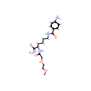 COCCOCC(=O)NC(CCCCNC(=O)c1ccc(N)cc1)C(N)=O